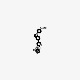 COc1ccc(-n2ccc3cc(-c4ccc(O[C@@H]5C6CCN(CC6)[C@H]5C)nc4)ccc32)cc1